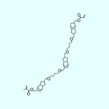 C=CC(=O)OCC1CC2CC1C1CC(COCCCCOCC3CC4C5CC(COCCCCOCC6CC7C8CC(COC(=O)C(=C)C)C(C8)C7C6)C(C5)C4C3)CC21